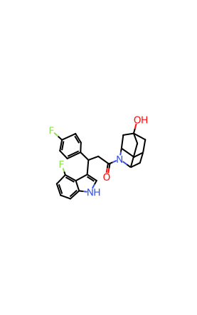 O=C(CC(c1ccc(F)cc1)c1c[nH]c2cccc(F)c12)N1C2CC3CC1CC(O)(C3)C2